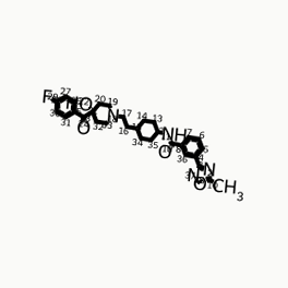 Cc1nc(-c2cccc(C(=O)NC3CCC(CCN4CCC(O)(C(=O)c5ccc(F)cc5)CC4)CC3)c2)no1